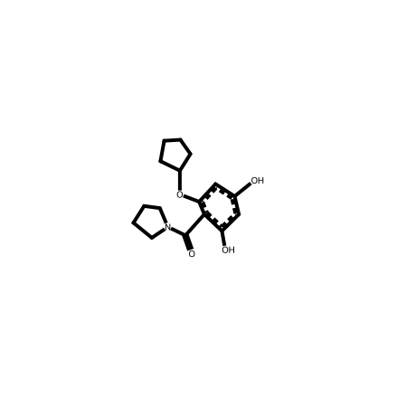 O=C(c1c(O)cc(O)cc1OC1CCCC1)N1CCCC1